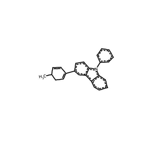 CC1C=CC(c2ccc3c(c2)c2ccccc2n3-c2ccccc2)=CC1